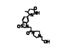 CC1CC(=O)NN=C1c1ccc2c(c1)N(CC(=O)N1CCN(CCO)CC1)C[S+]2[O-]